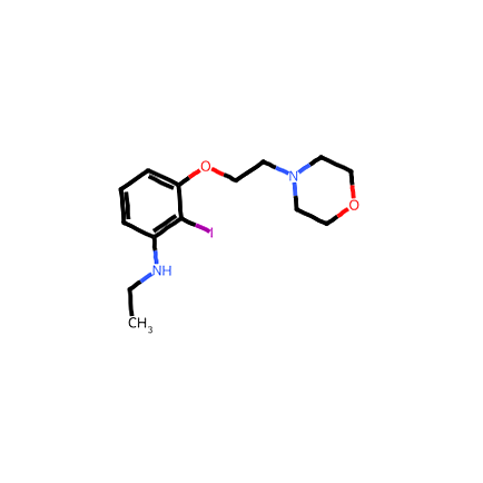 CCNc1cccc(OCCN2CCOCC2)c1I